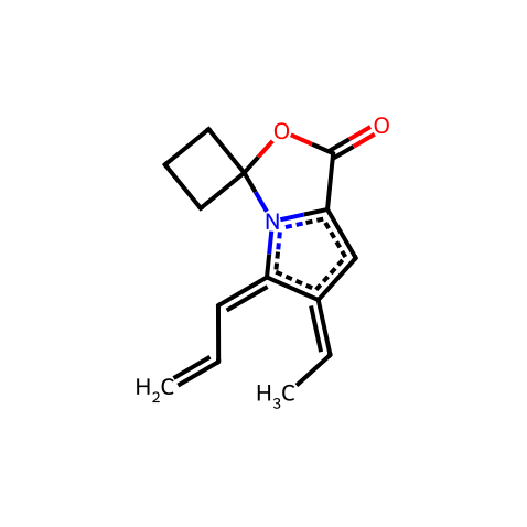 C=C/C=c1\c(=C/C)cc2n1C1(CCC1)OC2=O